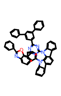 c1ccc(-c2cc(-c3ccccc3)cc(-c3nc(-c4cccc5nc(-c6ccccc6)oc45)nc(-n4c5ccccc5c5ccc6c7ccccc7n(-c7ccccc7)c6c54)n3)c2)cc1